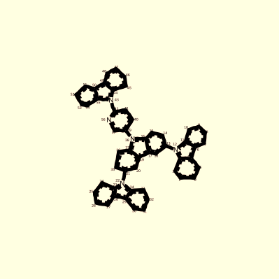 c1ccc2c(c1)c1ccccc1n2-c1ccc2c(c1)c1cc(-n3c4ccccc4c4ccccc43)ccc1n2-c1ccc(-n2c3ccccc3c3ccccc32)nc1